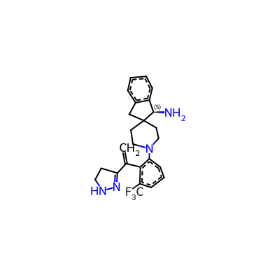 C=C(C1=NNCC1)c1c(N2CCC3(CC2)Cc2ccccc2[C@H]3N)cccc1C(F)(F)F